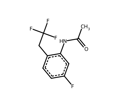 CC(=O)Nc1cc(F)ccc1CC(F)(F)F